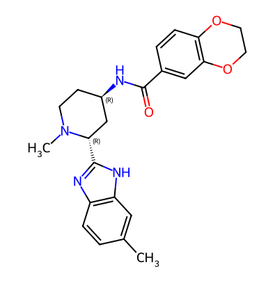 Cc1ccc2nc([C@H]3C[C@H](NC(=O)c4ccc5c(c4)OCCO5)CCN3C)[nH]c2c1